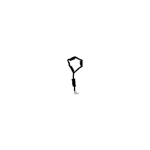 CC(C)(C)C#Cc1cc[c]cc1